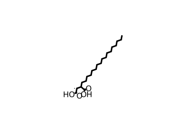 CCCCCCCCCCCCCCCCCC([CH]C(=O)O)C(=O)O